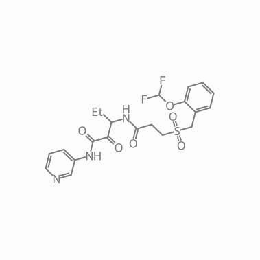 CCC(NC(=O)CCS(=O)(=O)Cc1ccccc1OC(F)F)C(=O)C(=O)Nc1cccnc1